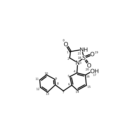 O=C1CN(c2cc(Cc3ccccc3)ccc2O)S(=O)(=O)N1